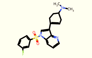 CN(C)C1CC=C(c2cn(S(=O)(=O)c3cccc(F)c3)c3cccnc23)CC1